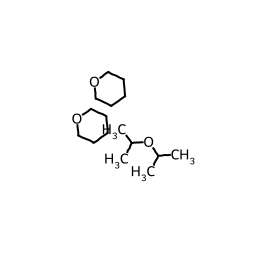 C1CCOCC1.C1CCOCC1.CC(C)OC(C)C